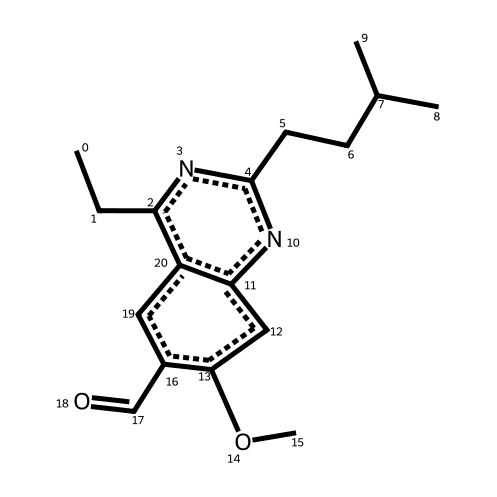 CCc1nc(CCC(C)C)nc2cc(OC)c(C=O)cc12